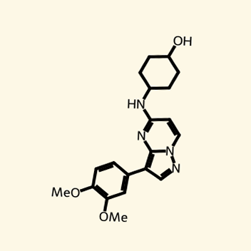 COc1ccc(-c2cnn3ccc(NC4CCC(O)CC4)nc23)cc1OC